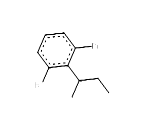 CCC(C)c1c(Br)cccc1Br